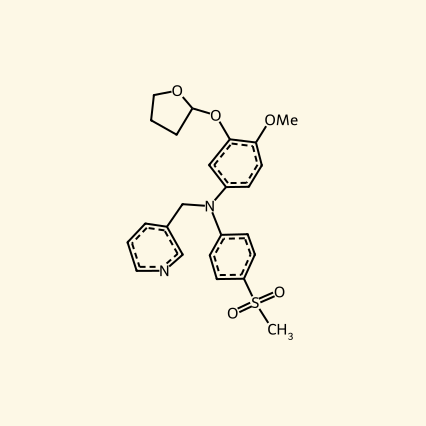 COc1ccc(N(Cc2cccnc2)c2ccc(S(C)(=O)=O)cc2)cc1OC1CCCO1